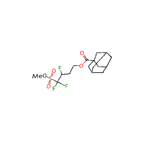 COS(=O)(=O)C(F)(F)C(F)CCOC(=O)C12CC3CC(CC(C3)C1)C2